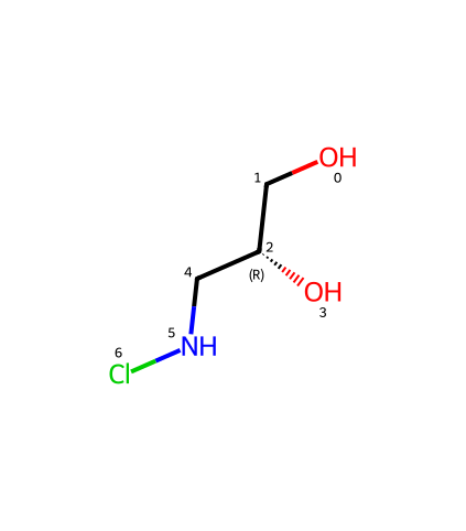 OC[C@H](O)CNCl